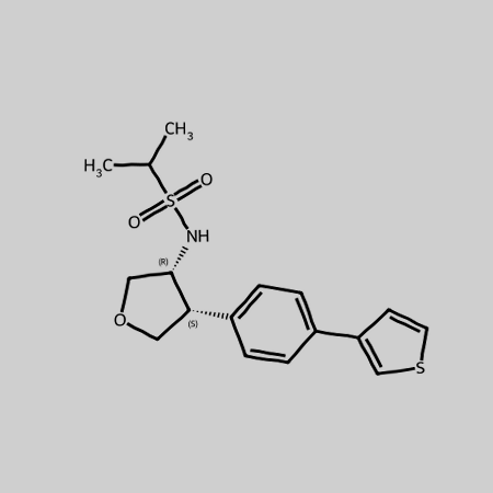 CC(C)S(=O)(=O)N[C@H]1COC[C@H]1c1ccc(-c2ccsc2)cc1